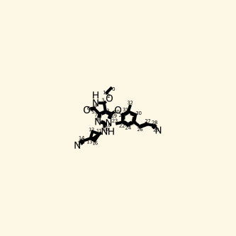 CCOC1NC(=O)c2nc(NC34CC(C#N)(C3)C4)nc(Oc3c(C)cc(/C=C/C#N)cc3C)c21